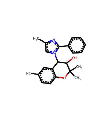 Cc1cn(C2c3cc(C#N)ccc3OC(C)(C)C2O)c(-c2ccccc2)n1